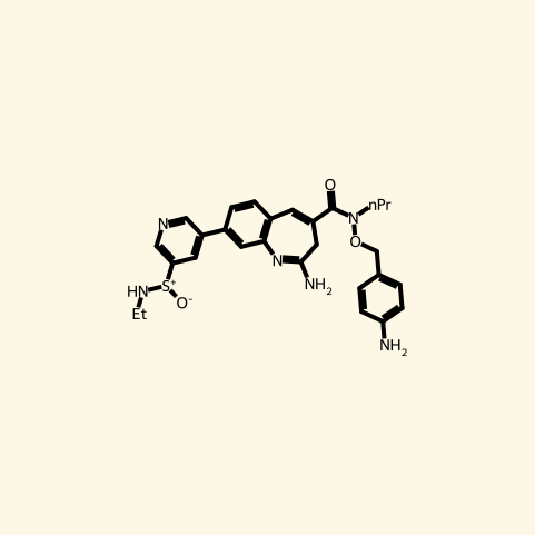 CCCN(OCc1ccc(N)cc1)C(=O)C1=Cc2ccc(-c3cncc([S+]([O-])NCC)c3)cc2N=C(N)C1